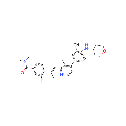 C/C(=C\c1nccc(-c2ccc(NC3CCOCC3)c(C#N)c2)c1C)c1ccc(C(=O)N(C)C)cc1F